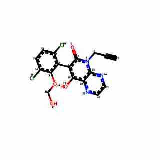 C#CCn1c(=O)c(-c2c(Cl)ccc(Cl)c2OCO)c(O)c2nccnc21